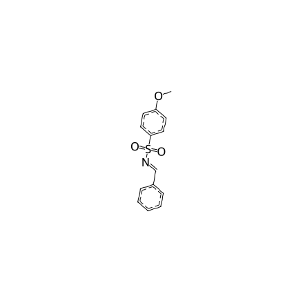 COc1ccc(S(=O)(=O)N=Cc2ccccc2)cc1